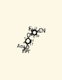 CCCC(OC1=CCC(Oc2ccc(C#N)cc2F)C=C1)C(C)=O